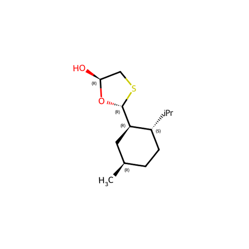 CC(C)[C@@H]1CC[C@@H](C)C[C@H]1[C@@H]1O[C@@H](O)CS1